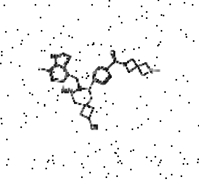 COc1cc(C)c2[nH]ccc2c1CN1CCC2(CC(C#N)C2)CC1c1ccc(C(=O)N2CC3(CN(C)C3)C2)cc1